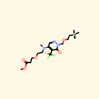 COC(=O)CCOCCN(C)c1cnn(COCC[Si](C)(C)C)c(=O)c1C(F)(F)F